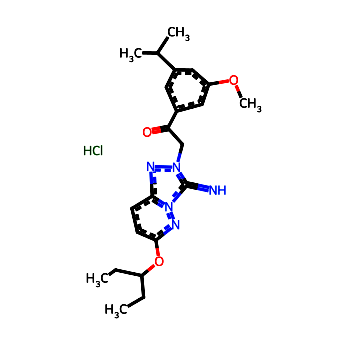 CCC(CC)Oc1ccc2nn(CC(=O)c3cc(OC)cc(C(C)C)c3)c(=N)n2n1.Cl